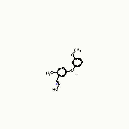 COc1cccc(Oc2cc[n+](C)c(/C=N/O)c2)c1.[I-]